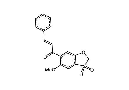 COc1cc2c(cc1C(=O)C=Cc1ccccc1)OCS2(=O)=O